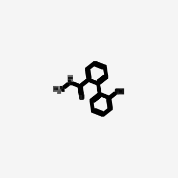 NNC(=O)c1ccccc1-c1ccccc1O